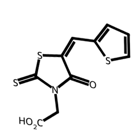 O=C(O)CN1C(=O)/C(=C\c2cccs2)SC1=S